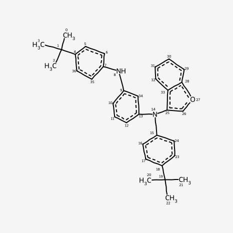 CC(C)(C)c1ccc(Nc2cccc(N(c3ccc(C(C)(C)C)cc3)c3coc4ccccc34)c2)cc1